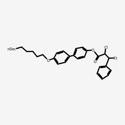 CCCCCCCCCCCCCCCOc1ccc(-c2ccc(OC(=O)C(Cl)C(CC)c3ccccc3)cc2)cc1